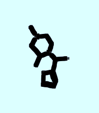 [CH2]C(c1cccs1)N1CCN(C)CC1C